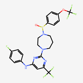 [O-][S+](c1ccc(OC(F)(F)F)cc1)N1CCCN(c2nc(Nc3ccc(F)cc3)cc(C(F)(F)F)n2)CC1